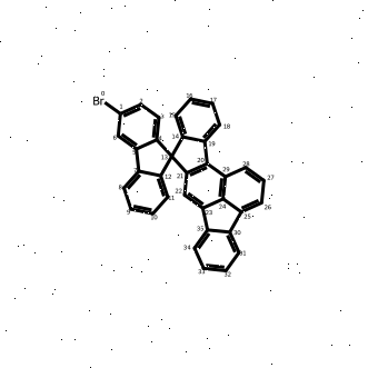 Brc1ccc2c(c1)-c1ccccc1C21c2ccccc2-c2c1cc1c3c(cccc23)-c2ccccc2-1